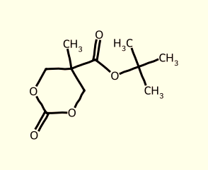 CC(C)(C)OC(=O)C1(C)COC(=O)OC1